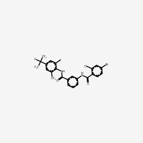 O=C(Nc1c(I)cc(C(F)(C(F)(F)F)C(F)(F)F)cc1C(F)(F)F)c1cccc(NC(=O)c2ccc(Br)cc2Cl)c1